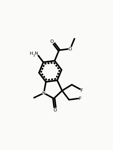 COC(=O)c1cc2c(cc1N)N(C)C(=O)C2(CF)CF